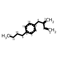 C=CC(=C)Cc1ccc(CCCC)cc1